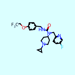 O=C(NCc1ccc(OCC(F)(F)F)cc1)N(Cc1ccc(F)cn1)C1CCN(C2CC2)CC1